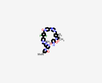 CNc1ccn(-c2ccnc3c2cc(CN2CCC(c4c(F)cc(C(=O)N5CCC(CN6CCN(Cc7ccc8c(c7)C(C)(C)C(=O)N8[C@H]7CCC(=O)NC7=O)CC6)CC5)cc4F)CC2)n3C)c(=O)c1